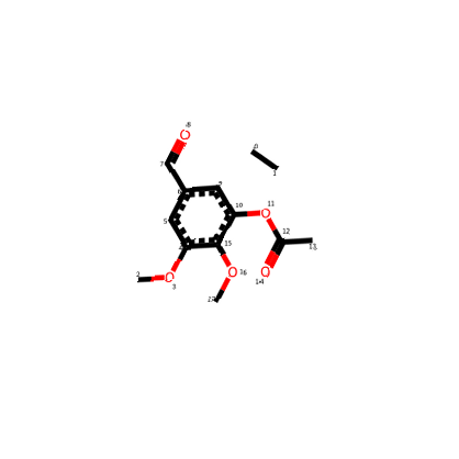 CC.COc1cc(C=O)cc(OC(C)=O)c1OC